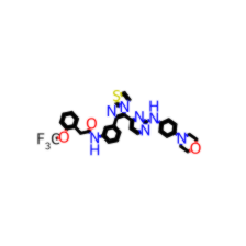 O=C(Cc1ccccc1OC(F)(F)F)Nc1cccc(-c2nc3sccn3c2-c2ccnc(Nc3ccc(N4CCOCC4)cc3)n2)c1